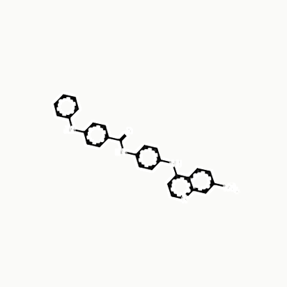 O=C(Nc1ccc(Nc2ccnc3cc([N+](=O)[O-])ccc23)cc1)c1ccc(Nc2ccccc2)cc1